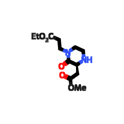 CCOC(=O)CCN1CCN[C@@H](CC(=O)OC)C1=O